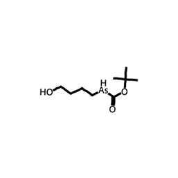 CC(C)(C)OC(=O)[AsH]CCCCO